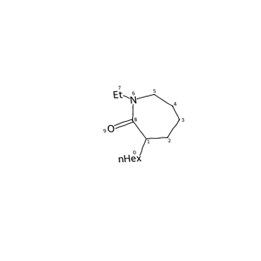 CCCCCCC1CCCCN(CC)C1=O